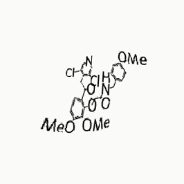 COc1ccc(CNC(=O)COc2c(C(=O)Cc3c(Cl)cncc3Cl)ccc(OC)c2OC)cc1